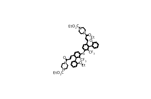 CCOC(=O)N1CCN(C(=O)/C=C/c2ccc(Sc3ccc(/C=C/C(=O)N4CCN(C(=O)OCC)CC4)c(-c4ccccc4OCC)c3C(F)(F)F)c(C(F)(F)F)c2-c2ccccc2OCC)CC1